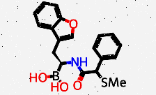 CSC(C(=O)N[C@H](Cc1coc2ccccc12)B(O)O)c1ccccc1